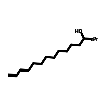 C=C/C=C/CCCCCCCCC(O)CCC